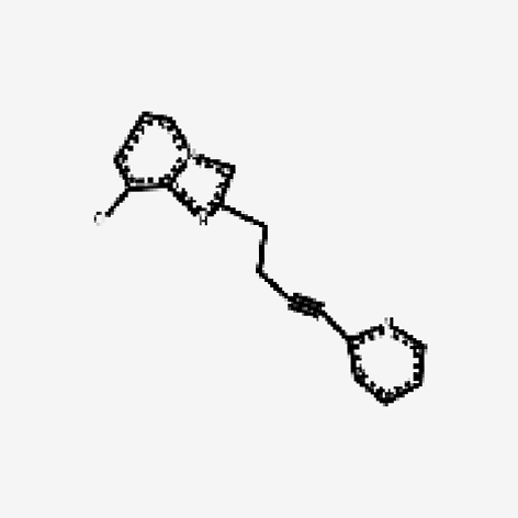 Clc1cccn2cc(CCC#Cc3ccccn3)nc12